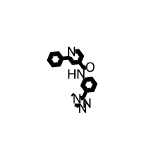 Cn1cnnc1-c1cccc(NC(=O)c2ccnc(-c3ccccc3)c2)c1